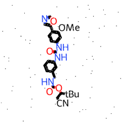 COc1cc(NC(=O)Nc2cccc(CNC(=O)OC(CC#N)C(C)(C)C)c2)ccc1-c1cnco1